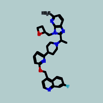 CC(c1nc2ccc(C(=O)O)nc2n1C[C@@H]1CCO1)N1CCC(c2cccc(OCc3ccnc4cc(F)ccc34)n2)CC1